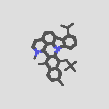 Cc1ccc2c(C)c3c(c(CC(C)(C)C)c2c1)n1c2cccc(C(C)C)c2c2ccc4cc[n+](C)c3c4c21